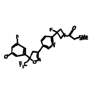 CSCC(=O)N1CC(F)(c2ccc(C3=NOC(c4cc(F)cc(Cl)c4)(C(F)(F)F)C3)cn2)C1